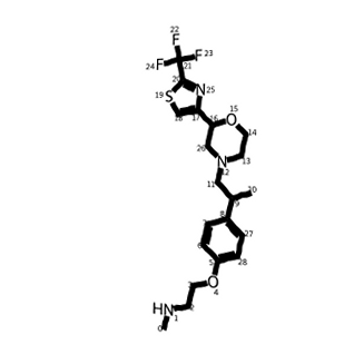 CNCCOc1ccc(C(C)CN2CCOC(c3csc(C(F)(F)F)n3)C2)cc1